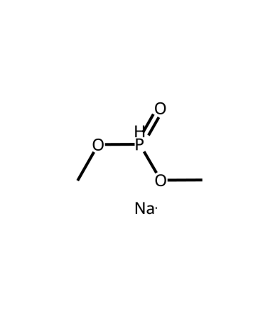 CO[PH](=O)OC.[Na]